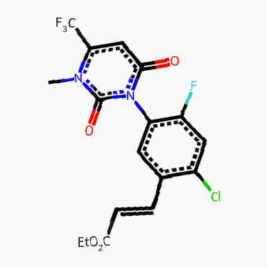 CCOC(=O)C=Cc1cc(-n2c(=O)cc(C(F)(F)F)n(C)c2=O)c(F)cc1Cl